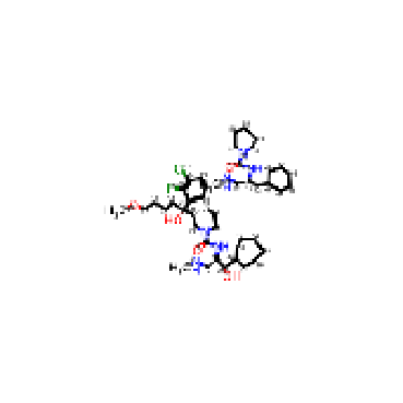 CNC[C@@H](NC(=O)N1CCC[C@@H]([C@@](O)(CCCCOC)c2cccc(Cl)c2F)C1)[C@@H](O)C1CCCCCC1.CNC[C@H](CC1CCCCC1)NC(=O)N1CCCCC1